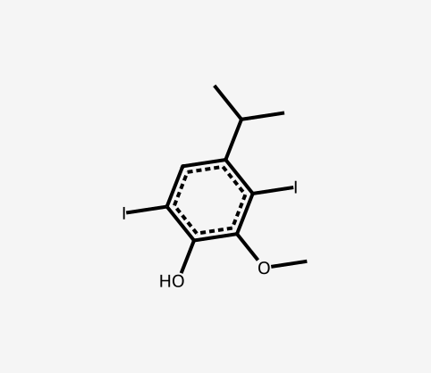 COc1c(O)c(I)cc(C(C)C)c1I